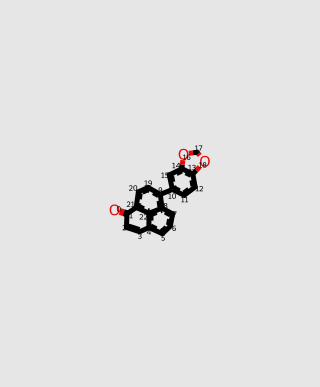 O=C1C=Cc2cccc3c(-c4ccc5c(c4)OCO5)ccc1c23